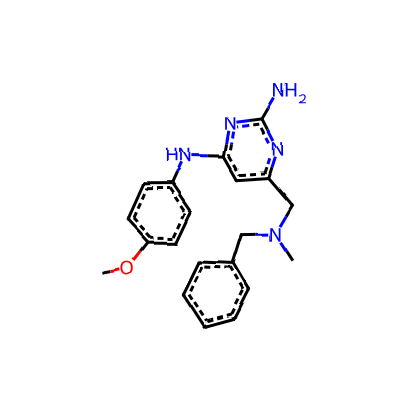 COc1ccc(Nc2cc(CN(C)Cc3ccccc3)nc(N)n2)cc1